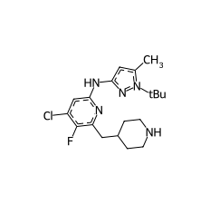 Cc1cc(Nc2cc(Cl)c(F)c(CC3CCNCC3)n2)nn1C(C)(C)C